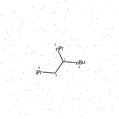 CCCC[C](CCC)CC(C)C